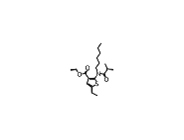 CCCCCCN(C(=O)C(C)C)c1sc(CC)cc1C(=O)OCC